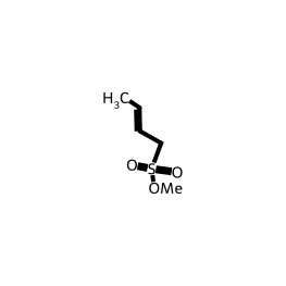 CC=CCS(=O)(=O)OC